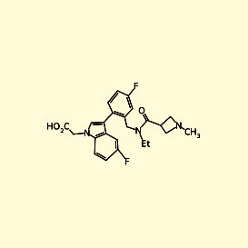 CCN(Cc1cc(F)ccc1-c1cn(CC(=O)O)c2ccc(F)cc12)C(=O)C1CN(C)C1